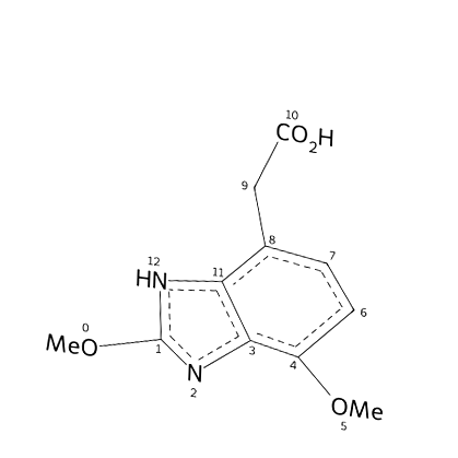 COc1nc2c(OC)ccc(CC(=O)O)c2[nH]1